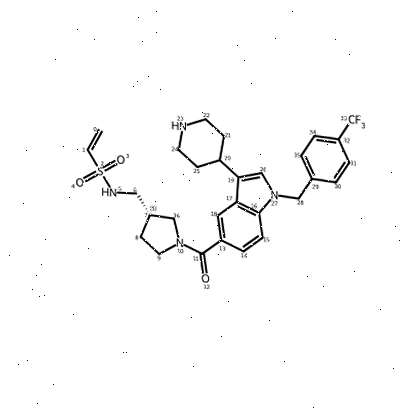 C=CS(=O)(=O)NC[C@H]1CCN(C(=O)c2ccc3c(c2)c(C2CCNCC2)cn3Cc2ccc(C(F)(F)F)cc2)C1